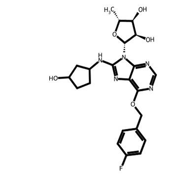 C[C@H]1O[C@@H](n2c(NC3CCC(O)C3)nc3c(OCc4ccc(F)cc4)ncnc32)[C@H](O)[C@@H]1O